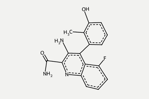 Cc1c(O)cccc1-c1c(N)c(C(N)=O)nc2cccc(F)c12